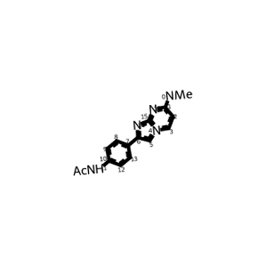 CNc1ccn2cc(-c3ccc(NC(C)=O)cc3)nc2n1